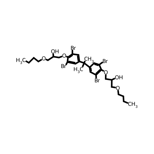 CCCCOCC(O)COc1c(Br)cc(C(C)(C)c2cc(Br)c(OCC(O)COCCCC)c(Br)c2)cc1Br